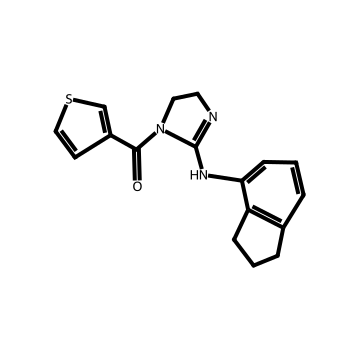 O=C(c1ccsc1)N1CCN=C1Nc1cccc2c1CCC2